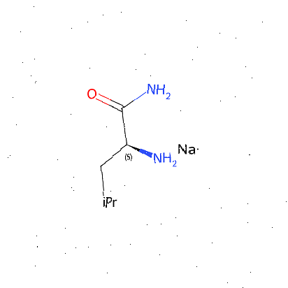 CC(C)C[C@H](N)C(N)=O.[Na]